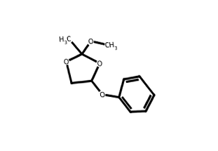 COC1(C)OCC(Oc2ccccc2)O1